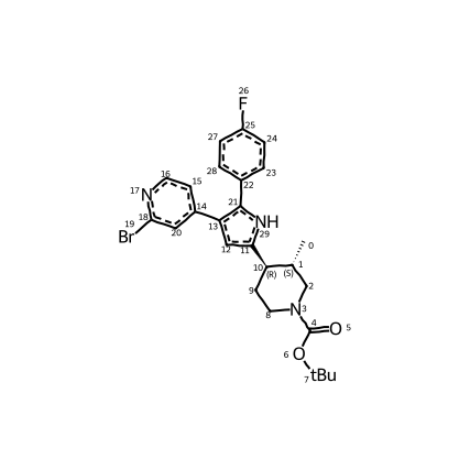 C[C@@H]1CN(C(=O)OC(C)(C)C)CC[C@H]1c1cc(-c2ccnc(Br)c2)c(-c2ccc(F)cc2)[nH]1